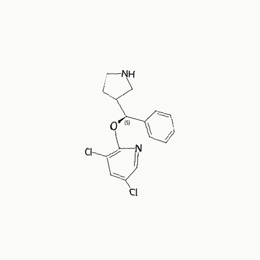 Clc1cnc(O[C@H](c2ccccc2)C2CCNC2)c(Cl)c1